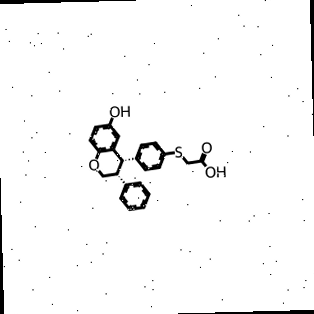 O=C(O)CSc1ccc([C@H]2c3cc(O)ccc3OC[C@H]2c2ccccc2)cc1